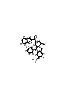 Cc1ccc(CN2C(=O)CN(C(=O)c3cc4ccccc4o3)CC2Cc2ccccc2)cc1